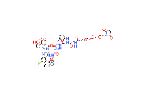 CC[C@@]1(O)C(=O)OCc2c1cc1n(c2=O)Cc2c-1nc1cc(F)c(C)cc1c2CN1CC2CC(C1)C2OCNC(=O)CNC(=O)[C@H](Cc1ccccc1)NC(=O)CNC(=O)CNC(=O)CCOCCOCCOCCN1C(=O)C=CC1=O